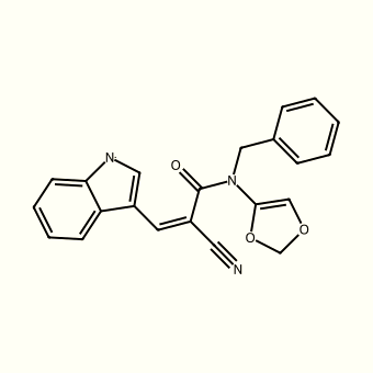 N#CC(=CC1=C[N]c2ccccc21)C(=O)N(Cc1ccccc1)C1=COCO1